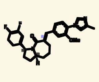 COc1cc(/C=C2\CCC[C@H]3CC[C@@H](C4=CC(F)=C(F)CC4)N3C2=O)ccc1-n1cnc(C)c1